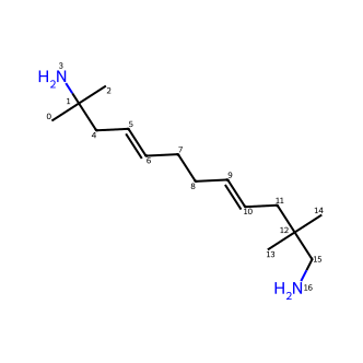 CC(C)(N)CC=CCCC=CCC(C)(C)CN